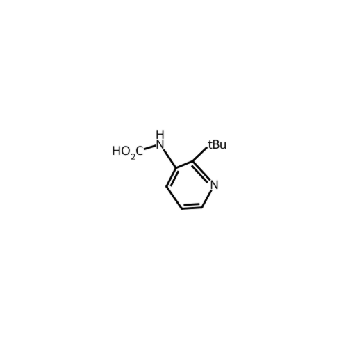 CC(C)(C)c1ncccc1NC(=O)O